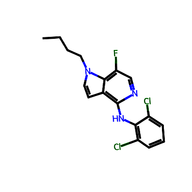 CCCCn1ccc2c(Nc3c(Cl)cccc3Cl)ncc(F)c21